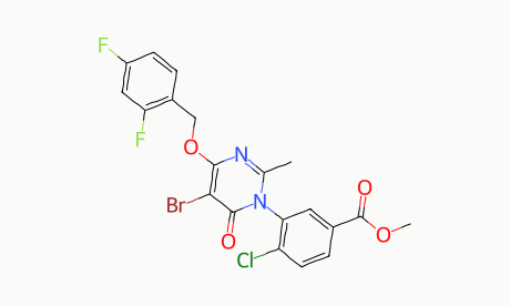 COC(=O)c1ccc(Cl)c(-n2c(C)nc(OCc3ccc(F)cc3F)c(Br)c2=O)c1